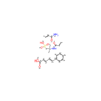 C=CC(=O)NC(C)(C)CS(=O)(=O)O.C=CC(N)=O.O=C(O)C=CC=Cc1ccccc1